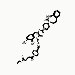 CCOC(=O)CCC(=O)N1CCC(C=C=C=NC(=O)[C@@H](Cc2ccc(O)c(Br)c2)OC(=O)N2CCC(N3CCc4ccccc4NC3=O)CC2)CC1